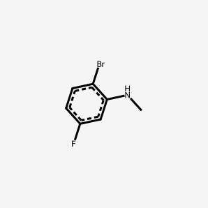 CNc1cc(F)ccc1Br